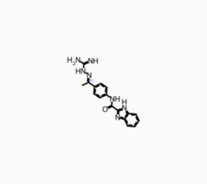 C/C(=N\NC(=N)N)c1ccc(NC(=O)c2nc3ccccc3[nH]2)cc1